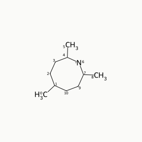 CC1CCC(C)[N]C(C)CC1